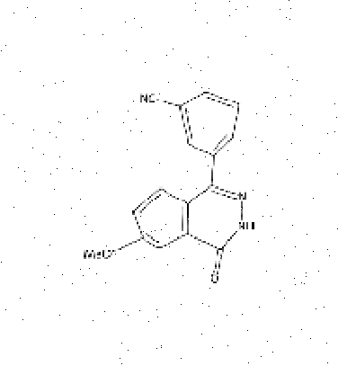 COc1ccc2c(-c3cccc(C#N)c3)n[nH]c(=O)c2c1